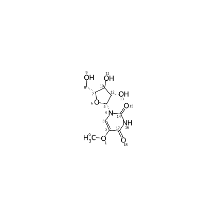 COc1cn([C@@H]2O[C@H](CO)C(O)[C@@H]2O)c(=O)[nH]c1=O